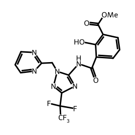 COC(=O)c1cccc(C(=O)Nc2nc(C(F)(F)C(F)(F)F)nn2Cc2ncccn2)c1O